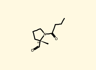 CCCC(=O)N1CCC[C@@]1(C)C=O